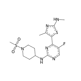 CNc1nc(C)c(-c2nc(NC3CCN(S(C)(=O)=O)CC3)ncc2F)s1